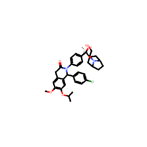 COc1cc2c(cc1OC(C)C)C(c1ccc(Cl)cc1)N(c1ccc([C@@](C)(O)C3CC4CCC(C3)N4CCO)cc1)C(=O)C2